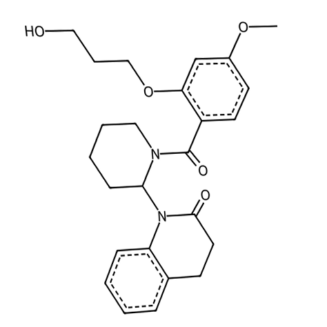 COc1ccc(C(=O)N2CCCCC2N2C(=O)CCc3ccccc32)c(OCCCO)c1